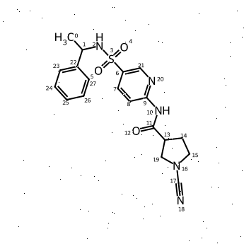 CC(NS(=O)(=O)c1ccc(NC(=O)C2CCN(C#N)C2)nc1)c1ccccc1